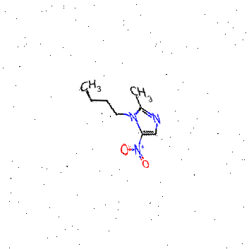 CCCCn1c([N+](=O)[O-])cnc1C